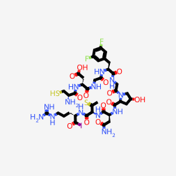 CC(=S)[C@@H](NC(=O)[C@H](CC(N)=O)NC(=O)C1CC(O)CN1C(=O)CNC(=O)[C@H](Cc1cc(F)cc(F)c1)NC(=O)CNC(=O)[C@@H](CC(=O)O)NC(=O)[C@H](N)CS)C(=O)N[C@@H](CCCNC(=N)N)C(=O)I